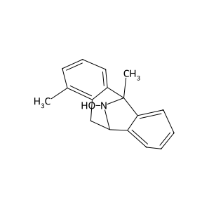 Cc1cccc2c1CC1c3ccccc3C2(C)N1O